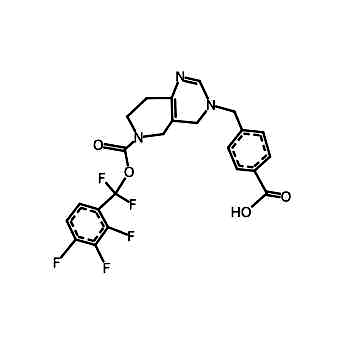 O=C(O)c1ccc(CN2C=NC3=C(C2)CN(C(=O)OC(F)(F)c2ccc(F)c(F)c2F)CC3)cc1